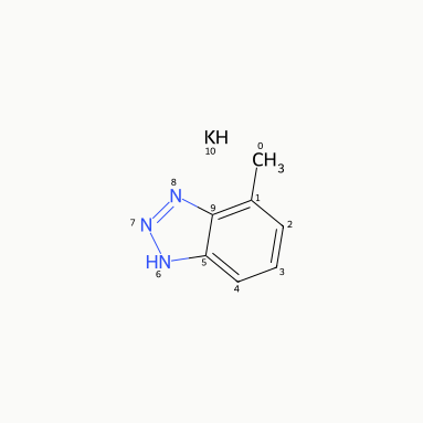 Cc1cccc2[nH]nnc12.[KH]